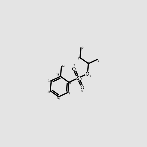 CCC(C)OS(=O)(=O)c1ccccc1C